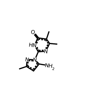 Cc1cc(N)n(-c2nc(C)c(C)c(=O)[nH]2)n1